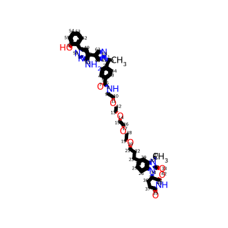 CC(c1ccc(C(=O)NCCOCCOCCOCCOCCCc2ccc3c(c2)n(C)c(=O)n3C2CCC(=O)NC2=O)cc1)n1cc(-c2cc(-c3ccccc3O)nnc2N)cn1